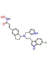 O=C(C=Cc1ccc2c(c1)CCC2N(CCc1c[nH]c2cc(F)ccc12)Cc1cc[nH]c1)NO